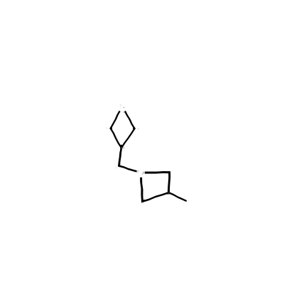 FC1CN(CC2CNC2)C1